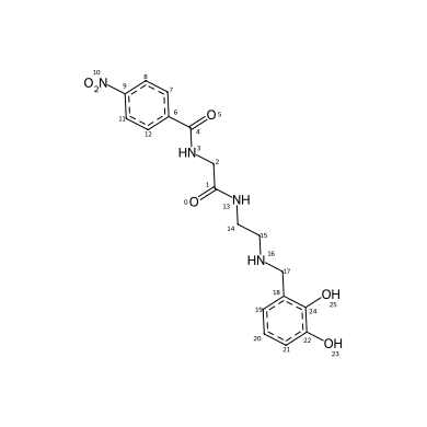 O=C(CNC(=O)c1ccc([N+](=O)[O-])cc1)NCCNCc1cccc(O)c1O